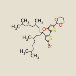 CC(C)CCCC(C)CCC1(CCC(C)CCCC(C)C)Oc2cc(C3OCCCO3)sc2-c2sc(Br)cc21